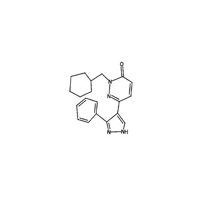 O=c1ccc(-c2c[nH]nc2-c2ccccc2)nn1CC1CCCCC1